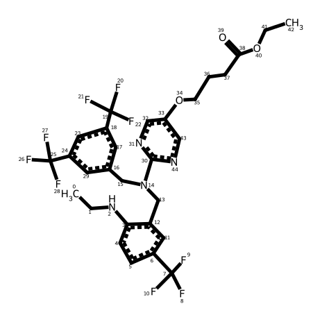 CCNc1ccc(C(F)(F)F)cc1CN(Cc1cc(C(F)(F)F)cc(C(F)(F)F)c1)c1ncc(OCCCC(=O)OCC)cn1